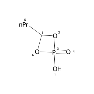 CCCC1OP(=O)(O)O1